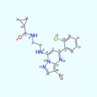 O=C(NCCNc1cc(-c2ccccc2Cl)nc2c(Br)cnn12)C1CC1